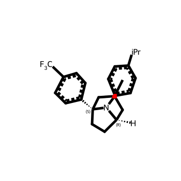 CC1C[C@H]2CC[C@@](c3ccc(C(F)(F)F)cc3)(C1)N2c1ccc(C(C)C)cc1